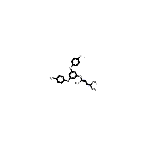 C/C(N)=C\C=C(/C)Oc1cc(Oc2ccc(N)cc2)cc(Oc2ccc(N)cc2)c1